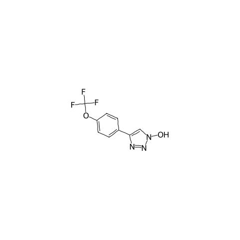 On1cc(-c2ccc(OC(F)(F)F)cc2)nn1